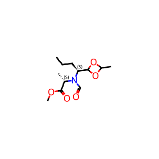 CCC[C@@H](C1OC(C)O1)N(C=O)[C@@H](C)C(=O)OC